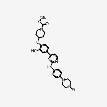 CCN1CCN(c2ccc(Nc3nccc(-c4ccc(OC5CCN(C(=O)OC(C)(C)C)CC5)c(C#N)c4)n3)nc2)CC1